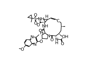 COc1ccc2nc(C)c(O[C@@H]3C[C@H]4C(=O)N[C@]5(C(=O)NS(=O)(=O)C6(C)CC6)C[C@H]5C=CCC[C@@H](C)C[C@@H](C)[C@H](NC(=O)O)C(=O)N4C3)nc2c1